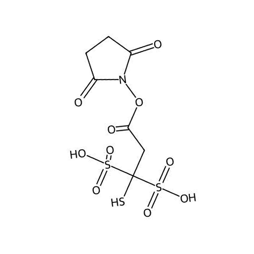 O=C(CC(S)(S(=O)(=O)O)S(=O)(=O)O)ON1C(=O)CCC1=O